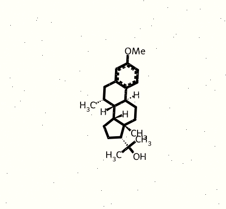 COc1ccc2c(c1)C[C@@H](C)[C@@H]1[C@@H]2CC[C@@]2(C)[C@@H]1CC[C@H]2C(C)(C)O